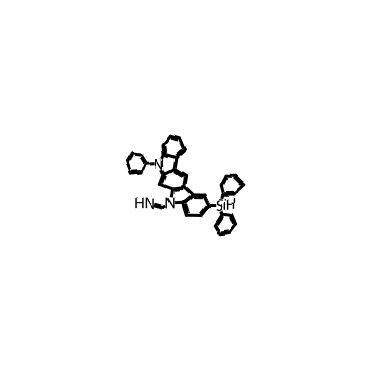 N=Cn1c2ccc([SiH](c3ccccc3)c3ccccc3)cc2c2cc3c4ccccc4n(-c4ccccc4)c3cc21